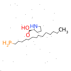 CCCCCCCCCCCCCCP.O=C(O)[C@@H]1CCCN1